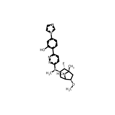 CO[C@@H]1C[C@@]2(C)[C@@H](F)[C@H](N(C)c3ccc(-c4ccc(-n5ccnc5)cc4O)nn3)CC1N2C